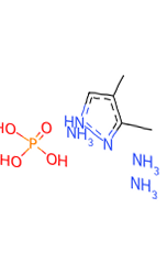 Cc1c[nH]nc1C.N.N.N.O=P(O)(O)O